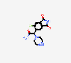 NC(=O)C(c1cc2c(cc1F)C(=O)NC2=O)N1CCNCC1